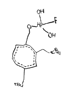 CC(C)(C)c1ccc(O[PH](O)(O)F)c(C(C)(C)C)c1